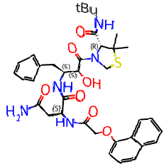 CC(C)(C)NC(=O)[C@H]1N(C(=O)[C@@H](O)[C@H](Cc2ccccc2)NC(=O)[C@H](CC(N)=O)NC(=O)COc2cccc3ccccc23)CSC1(C)C